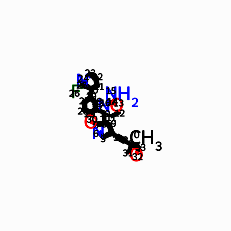 CC1(C#Cc2cnc3c(c2)[C@]2(CCOC(N)=N2)c2cc(-c4cccnc4F)ccc2O3)COC1